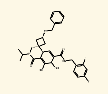 CC(C)N1C[C@]2(C[C@H](OCc3ccccc3)C2)N2C=C(C(=O)NCc3ccc(F)cc3F)C(O)C(O)=C2C1=O